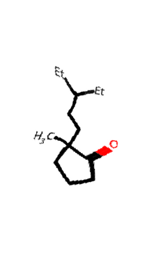 CCC(CC)CCC1(C)CCCC1=O